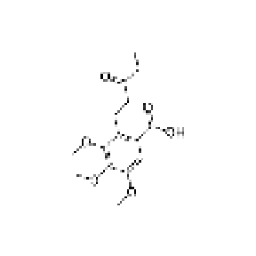 CCC(=O)CCc1c(C(=O)O)cc(OC)c(OC)c1OC